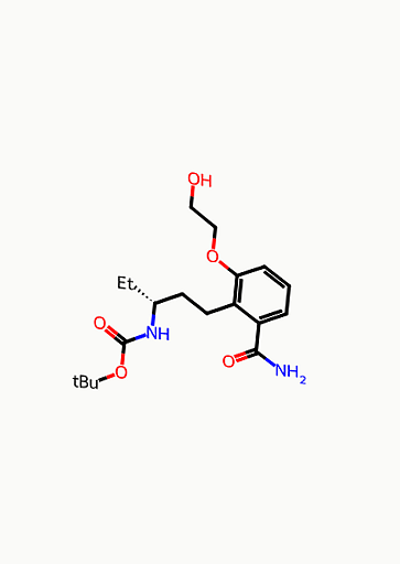 CC[C@H](CCc1c(OCCO)cccc1C(N)=O)NC(=O)OC(C)(C)C